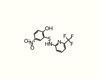 O=[N+]([O-])c1ccc(O)c(SNc2cccc(C(F)(F)F)n2)c1